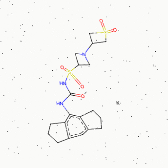 O=C(Nc1c2c(cc3c1CCC3)CCC2)NS(=O)(=O)C1CN(C2CS(=O)(=O)C2)C1.[K]